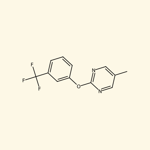 Cc1cnc(Oc2cccc(C(F)(F)F)c2)nc1